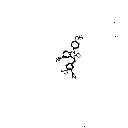 COc1ccc(Cn2c(=O)n(C3CCC(O)CC3)c3ccc(C#N)cc32)cc1C#N